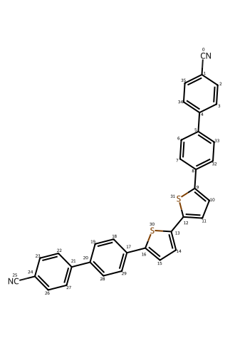 N#Cc1ccc(-c2ccc(-c3ccc(-c4ccc(-c5ccc(-c6ccc(C#N)cc6)cc5)s4)s3)cc2)cc1